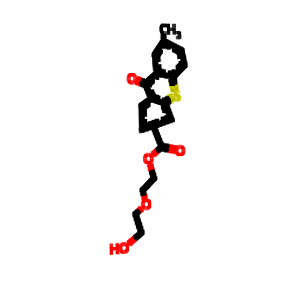 Cc1ccc2sc3cc(C(=O)OCCOCCO)ccc3c(=O)c2c1